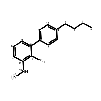 CCCCc1ccc(-c2cccc(NN)c2F)cc1